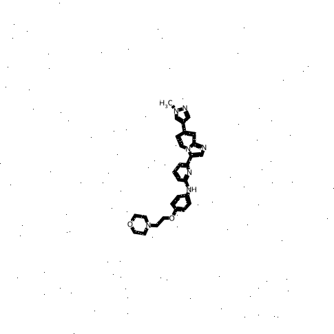 Cn1cc(-c2ccn3c(-c4cccc(Nc5ccc(OCCN6CCOCC6)cc5)n4)cnc3c2)cn1